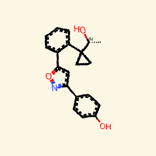 C[C@@H](O)C1(c2ccccc2-c2cc(-c3ccc(O)cc3)no2)CC1